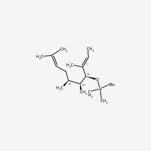 C/C=C(\C)[C@@H](O[Si](C)(C)C(C)(C)C)[C@@H](C)[C@@H](C)CC=C(C)C